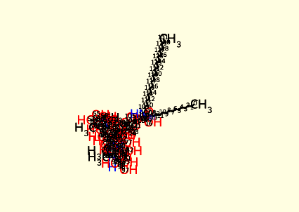 CCCCCCCCCCCCC/C=C/[C@@H](O)[C@H](CO[C@@H]1OC(CO)[C@@H](O[C@@H]2OC(CO)[C@H](O[C@@H]3OC(CO)[C@H](O)[C@H](O)C3N(C(C)=O)[C@H]3OC(C)[C@@H](O)C(O)[C@@H]3O)[C@H](O[C@]3(C(=O)O)CC(O)[C@@H](NC(C)=O)C([C@H](O)[C@@H](CO)O[C@]4(C(=O)O)CC(O)[C@@H](NC(C)=O)C([C@H](O)[C@H](O)CO)O4)O3)C2O)[C@H](O)C1O)NC(=O)CCCCCCCCCCCCCCCCCCCCCCC